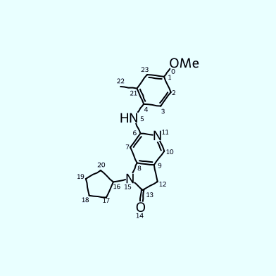 COc1ccc(Nc2cc3c(cn2)CC(=O)N3C2CCCC2)c(C)c1